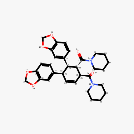 O=C([C@H]1[C@H](c2ccc3c(c2)OCO3)[C@H](c2ccc3c(c2)OCO3)C=C[C@@H]1C(=O)N1CCCCC1)N1CCCCC1